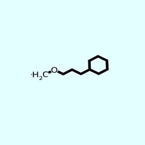 [CH2]OCCCC1CCCCC1